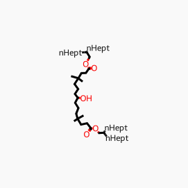 CCCCCCCC(CCCCCCC)COC(=O)CCC(C)(C)CCCC(O)CCCC(C)(C)CCC(=O)OCC(CCCCCCC)CCCCCCC